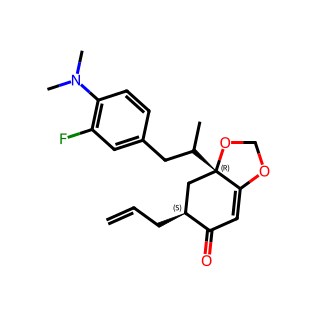 C=CC[C@H]1C[C@]2(C(C)Cc3ccc(N(C)C)c(F)c3)OCOC2=CC1=O